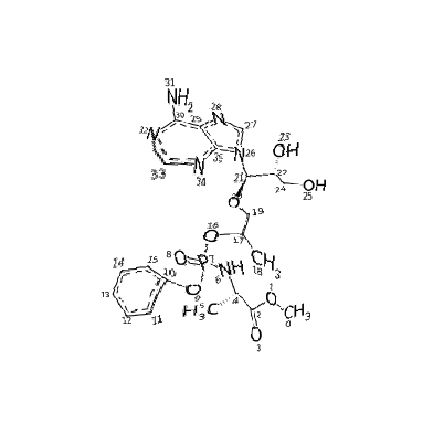 COC(=O)[C@H](C)NP(=O)(Oc1ccccc1)OC(C)CO[C@H]([C@H](O)CO)n1cnc2c(N)ncnc21